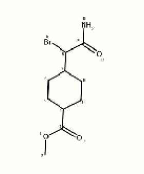 COC(=O)C1CCC(C(Br)C(N)=O)CC1